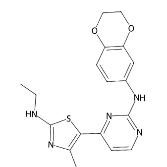 CCNc1nc(C)c(-c2ccnc(Nc3ccc4c(c3)OCCO4)n2)s1